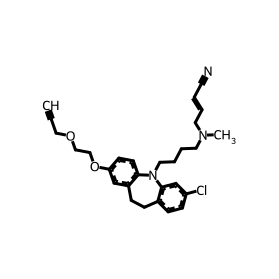 C#CCOCCOc1ccc2c(c1)CCc1ccc(Cl)cc1N2CCCCN(C)C/C=C/C#N